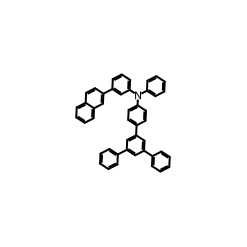 c1ccc(-c2cc(-c3ccccc3)cc(-c3ccc(N(c4ccccc4)c4cccc(-c5ccc6ccccc6c5)c4)cc3)c2)cc1